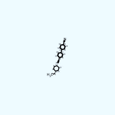 CC[C@H]1CC[C@H](C#Cc2ccc(-c3ccc(C#N)cc3)cc2)CC1